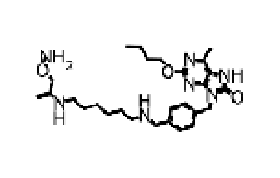 C=C(CON)NCCCCCCNCc1ccc(Cn2c(=O)[nH]c3c(C)nc(OCCCC)nc32)cc1